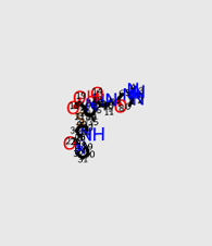 Cc1nnnn1CC(=O)N[C@H](C)[C@H]1C(=O)N2C(C(=O)O)=C(S[C@@H]3CN[C@H](C(=O)N4CCCC4)C3)[C@H](C)C12